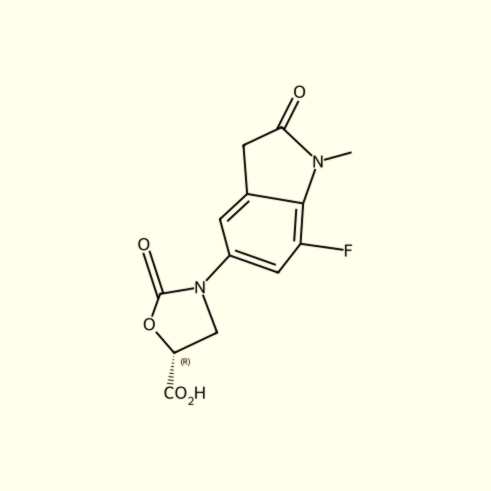 CN1C(=O)Cc2cc(N3C[C@H](C(=O)O)OC3=O)cc(F)c21